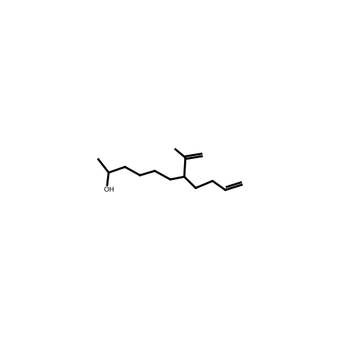 C=CCCC(CCCCC(C)O)C(=C)C